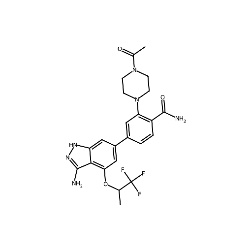 CC(=O)N1CCN(c2cc(-c3cc(OC(C)C(F)(F)F)c4c(N)n[nH]c4c3)ccc2C(N)=O)CC1